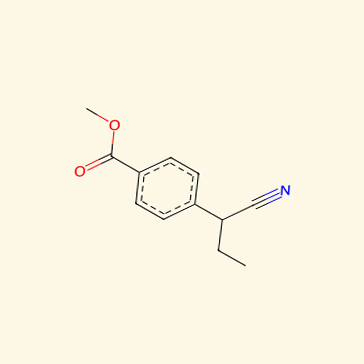 CCC(C#N)c1ccc(C(=O)OC)cc1